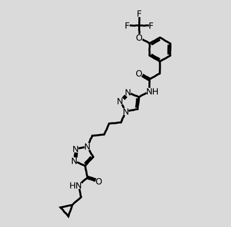 O=C(Cc1cccc(OC(F)(F)F)c1)Nc1cn(CCCCn2cc(C(=O)NCC3CC3)nn2)nn1